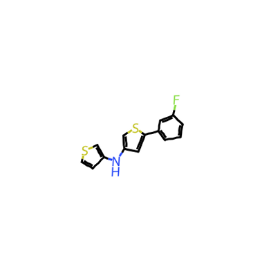 Fc1cccc(-c2cc(Nc3ccsc3)cs2)c1